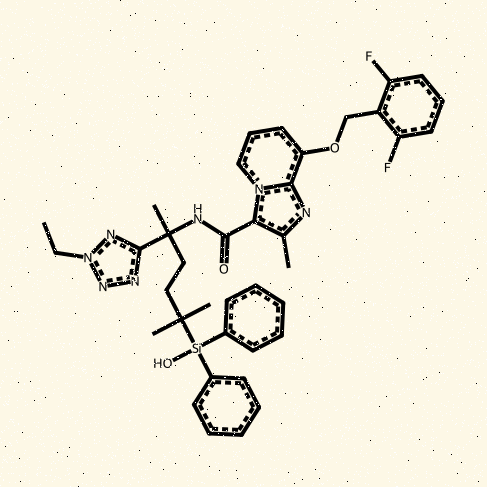 CCn1nnc(C(C)(CCC(C)(C)[Si](O)(c2ccccc2)c2ccccc2)NC(=O)c2c(C)nc3c(OCc4c(F)cccc4F)cccn23)n1